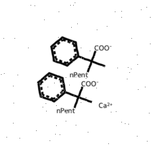 CCCCCC(C)(C(=O)[O-])c1ccccc1.CCCCCC(C)(C(=O)[O-])c1ccccc1.[Ca+2]